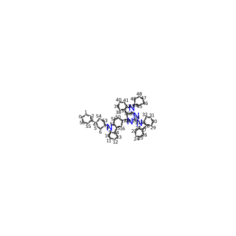 c1ccc(-c2ccc(-n3c4ccccc4c4cc(-c5nc(-n6c7ccccc7c7ccccc76)nc6c5c5ccccc5n6-c5ccccc5)ccc43)cc2)cc1